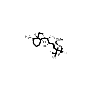 [2H]C([2H])([2H])C(/C=C/[C@H](O)[C@@H](C)[C@H]1CC[C@H]2[C@@H](C)CCC[C@]12C)(OCOC)C([2H])([2H])[2H]